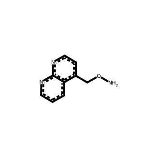 NOCc1ccnc2ncccc12